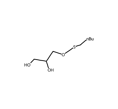 CCCCCSOCC(O)CO